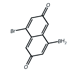 BC1=CC(=O)C=C2C(Br)=CC(=O)C=C12